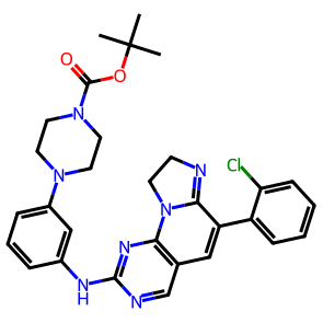 CC(C)(C)OC(=O)N1CCN(c2cccc(Nc3ncc4c(n3)N3CCN=C3C(c3ccccc3Cl)=C4)c2)CC1